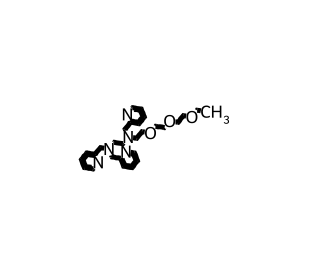 CCOCCOCCOCCN(CCN(Cc1ccccn1)Cc1ccccn1)Cc1ccccn1